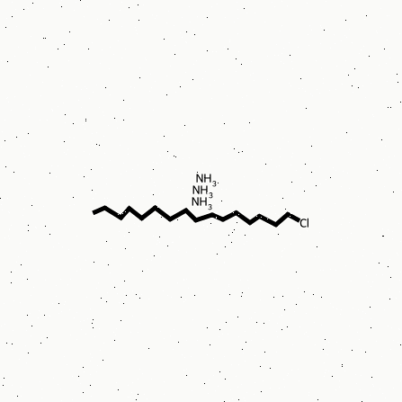 CCCCCCCCCCCCCCCCCl.N.N.N